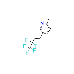 Cc1ccc(CCC(F)(F)C(F)(F)F)cn1